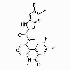 CN(C(=O)c1cc2cc(F)c(F)cc2[nH]1)C1COCc2c1c1cc(F)c(F)cc1c(=O)n2C